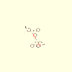 C=CCN1C(C)(C)CC(N(CCCCCCN(C(=O)N(C2CCCCC2)C2CCCCC2)C2CC(C)(C)N(CC=C)C(C)(C)C2)C(=O)N(C2CCCCC2)C2CCCCC2)CC1(C)C